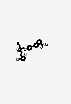 CCCc1onc(CCc2c(Cl)cccc2Cl)c1COc1ccc(-c2ccc3c(C(=O)OCC)cccc3c2)cc1